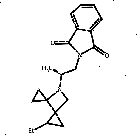 CCC1CC12CN([C@@H](C)CN1C(=O)c3ccccc3C1=O)C21CC1